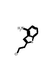 Nc1cccc2sc(CCCl)cc12